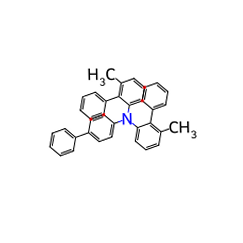 Cc1cccc(N(c2ccc(-c3ccccc3)cc2)c2cccc(C)c2-c2ccccc2)c1-c1ccccc1